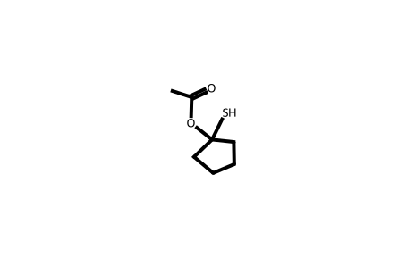 CC(=O)OC1(S)CCCC1